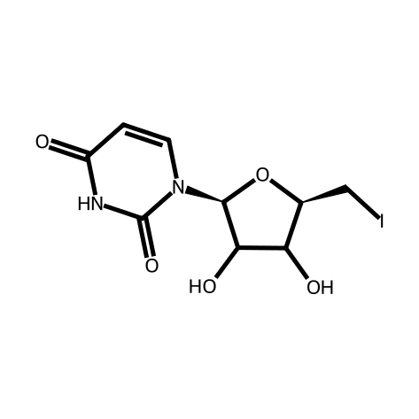 O=c1ccn([C@H]2O[C@@H](CI)C(O)C2O)c(=O)[nH]1